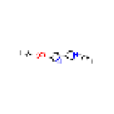 CCOOCc1ccc(C2CCN(CC)CC2)nc1